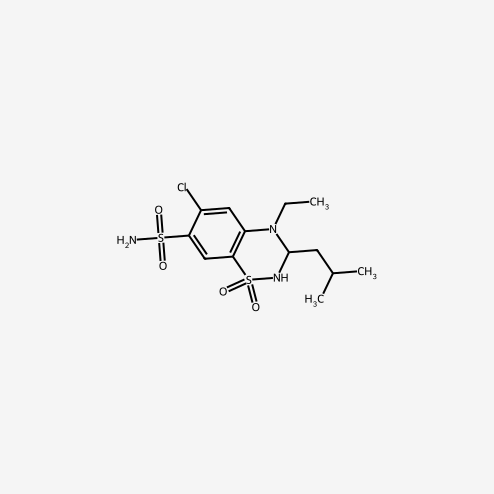 CCN1c2cc(Cl)c(S(N)(=O)=O)cc2S(=O)(=O)NC1CC(C)C